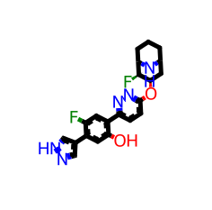 Oc1cc(-c2cn[nH]c2)c(F)cc1-c1ccc(O[C@@H]2CC3CCCC(N3)[C@@H]2F)nn1